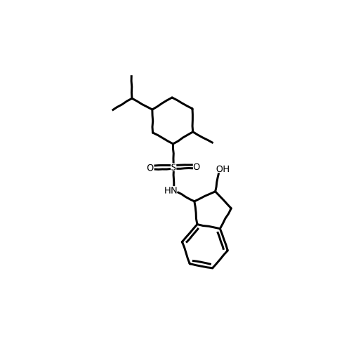 CC(C)C1CCC(C)C(S(=O)(=O)NC2c3ccccc3CC2O)C1